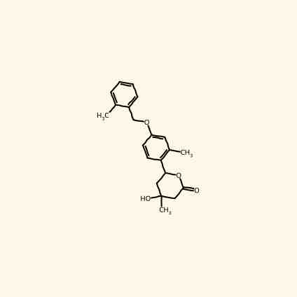 Cc1ccccc1COc1ccc(C2CC(C)(O)CC(=O)O2)c(C)c1